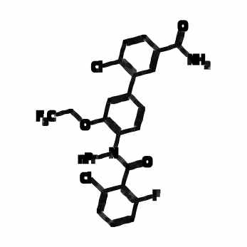 CCCN(C(=O)c1c(F)cccc1Cl)c1ccc(-c2cc(C(N)=O)ccc2Cl)cc1OCC(F)(F)F